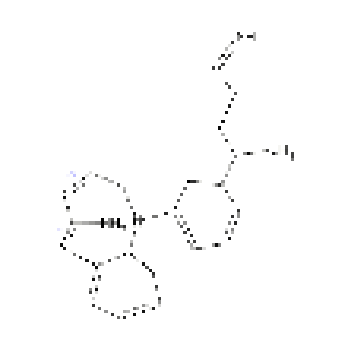 CC(CCC=N)C1C=CC=C(N2C/C=C\C(N)=C\C3=CC=CCC32)C1